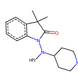 CCCN(C1CCNCC1)N1C(=O)C(C)(C)c2ccccc21